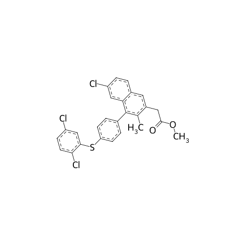 COC(=O)Cc1cc2ccc(Cl)cc2c(-c2ccc(Sc3cc(Cl)ccc3Cl)cc2)c1C